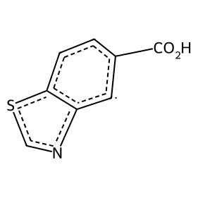 O=C(O)c1[c]c2ncsc2cc1